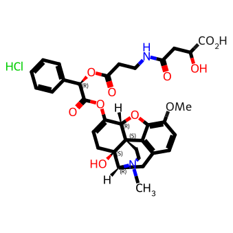 COc1ccc2c3c1O[C@H]1C(OC(=O)[C@H](OC(=O)CCNC(=O)CC(O)C(=O)O)c4ccccc4)=CC[C@@]4(O)[C@@H](C2)N(C)CC[C@]314.Cl